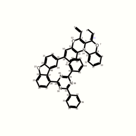 C=CC1=C2/C(=C\C)Oc3ccccc3N2c2ccc(-c3ccc4oc5cccc(-c6nc(-c7ccccc7)nc(-c7ccccc7)n6)c5c4c3)cc2O1